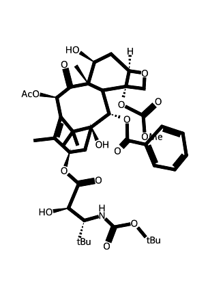 COC(=O)O[C@@]12CO[C@@H]1C[C@H](O)[C@@]1(C)C(=O)[C@H](OC(C)=O)C3=C(C)[C@H](OC(=O)[C@H](O)[C@H](NC(=O)OC(C)(C)C)C(C)(C)C)C[C@@](O)([C@@H](OC(=O)c4ccccc4)C12)C3(C)C